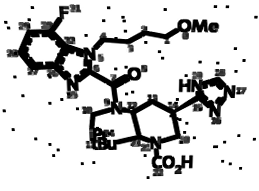 COCCCCn1c(C(=O)N(CC(C)C)[C@H]2C[C@@H](c3nnc[nH]3)CN(C(=O)O)C2C(C)(C)C)nc2cccc(F)c21